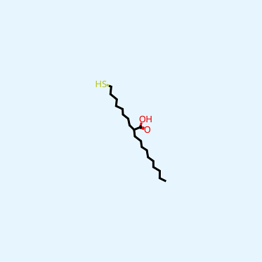 CCCCCCCCCCC(CCCCCCCCS)C(=O)O